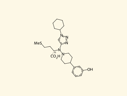 CSCC[C@@H](C(=O)O)N(c1cn(C2CCCCC2)nn1)N1CCC(c2cccc(O)c2)CC1